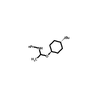 CCCNC(C)O[C@H]1CC[C@H](C(C)(C)C)CC1